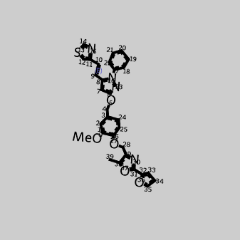 COc1cc(COc2cc(/C=C/c3cscn3)n(-c3ccccc3)n2)ccc1OCc1nc(-c2ccco2)oc1C